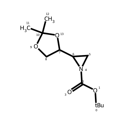 CC(C)(C)OC(=O)N1CC1C1COC(C)(C)O1